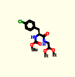 CCOC(CNC(=O)[C@H](Cc1ccc(Cl)cc1)NC(=O)OC(C)(C)C)OCC